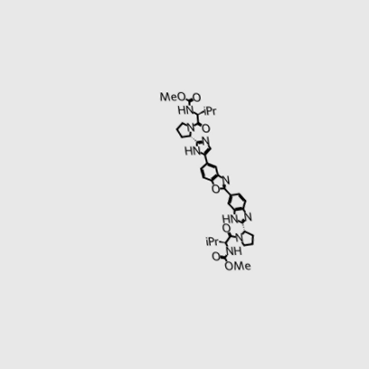 COC(=O)N[C@H](C(=O)N1CCC[C@H]1c1ncc(-c2ccc3oc(-c4ccc5nc([C@@H]6CCCN6C(=O)[C@@H](NC(=O)OC)C(C)C)[nH]c5c4)nc3c2)[nH]1)C(C)C